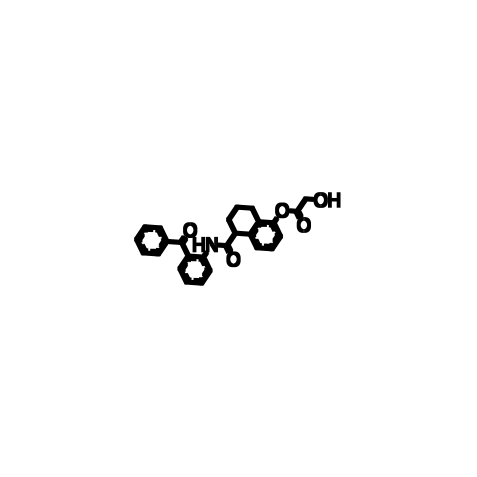 O=C(CO)Oc1cccc2c1CCCC2C(=O)Nc1ccccc1C(=O)c1ccccc1